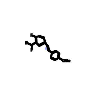 COc1ccc(/C=C/c2ccc(F)c(C(F)F)c2)cc1